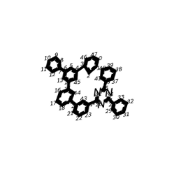 c1ccc(-c2cc(-c3ccccc3)cc(-c3cccc(-c4cccc(-c5nc(-c6ccccc6)nc(-c6ccccc6)n5)c4)c3)c2)cc1